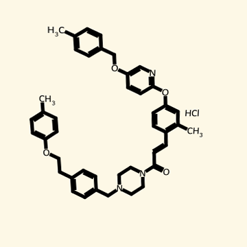 Cc1ccc(COc2ccc(Oc3ccc(C=CC(=O)N4CCN(Cc5ccc(CCOc6ccc(C)cc6)cc5)CC4)c(C)c3)nc2)cc1.Cl